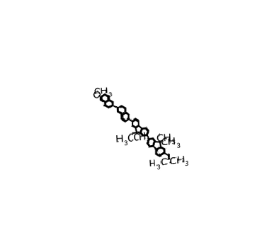 CCC1(C)c2cc(-c3ccc4c(c3)C(C)(C)c3cc(CC(C)C)ccc3-4)ccc2-c2ccc(-c3ccc4cc(-c5ccc6cc(OC)ccc6c5)ccc4c3)cc21